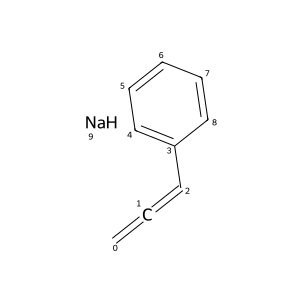 C=C=Cc1ccccc1.[NaH]